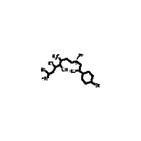 CCCC(CC)CC(O)C(O)C(C)CC[C@@H](CC(O)C1CCC(CC)CC1)C(C)C